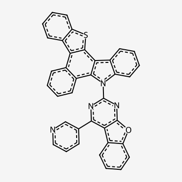 c1cncc(-c2nc(-n3c4ccccc4c4c5sc6ccccc6c5c5ccccc5c43)nc3oc4ccccc4c23)c1